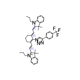 CCCN1/C(=C/C=C2\CCCC(/C=C/C3=[N+](CCC)c4ccccc4C3(C)C)=C2n2cc(-c3ccc(C(F)(F)F)cc3)nn2)C(C)(C)c2ccccc21